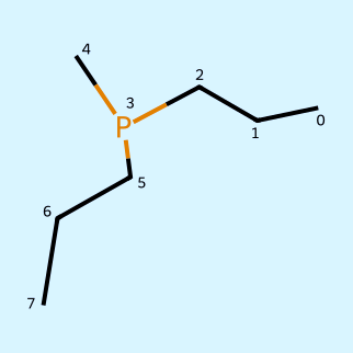 CCCP(C)CCC